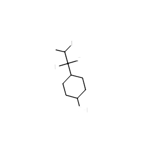 CC1CCC(C(F)(F)C(F)F)CC1